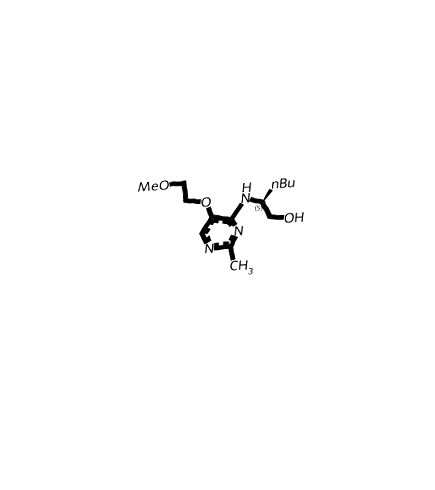 CCCC[C@@H](CO)Nc1nc(C)ncc1OCCOC